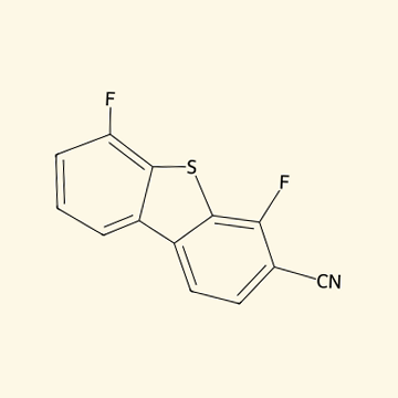 N#Cc1ccc2c(sc3c(F)cccc32)c1F